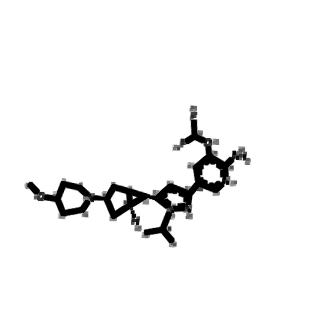 COC1CCN([C@H]2CC3[C@H](C2)[C@H]3c2cc(-c3cnc(N)c(OC(F)F)c3)nn2C(C)C)CC1